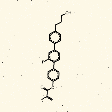 C=C(C)C(=O)Oc1ccc(-c2ccc(-c3ccc(CCCO)cc3)cc2F)cc1